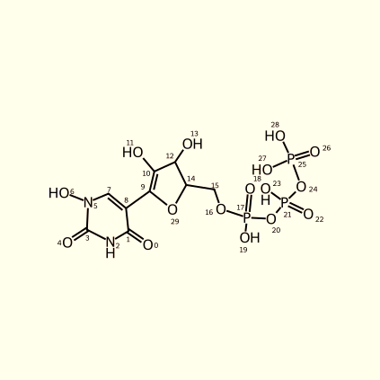 O=c1[nH]c(=O)n(O)cc1C1=C(O)C(O)C(COP(=O)(O)OP(=O)(O)OP(=O)(O)O)O1